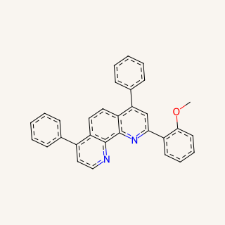 COc1ccccc1-c1cc(-c2ccccc2)c2ccc3c(-c4ccccc4)ccnc3c2n1